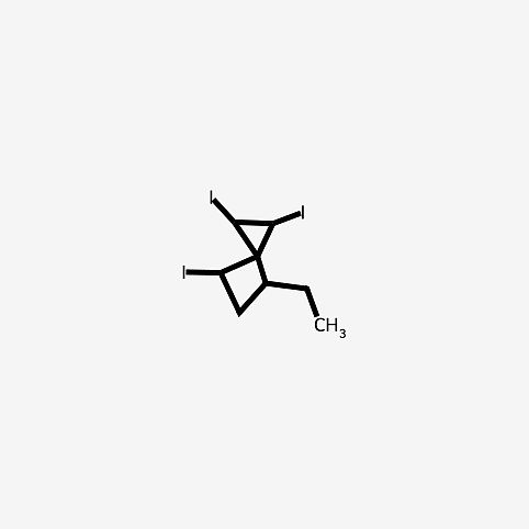 CCC1CC(I)C12C(I)C2I